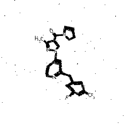 Cc1nn(-c2ccnc(Cc3cc(F)cc(C(F)(F)F)c3)c2)cc1C(=O)N1CCCC1